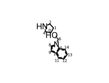 C1CCNC1.OCn1ccc2ccccc21